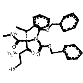 CNC(=O)[C@@](C(=O)[C@@H](N)CS)(C(C)c1ccccc1)N(C(=O)OCc1ccccc1)C(=O)OCc1ccccc1